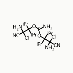 CC(C)C(OP(N)OC(C(C)C)(C(C)C)C(N)(Cl)C#N)(C(C)C)C(N)(Cl)C#N